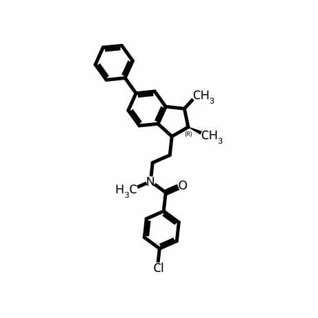 CC1c2cc(-c3ccccc3)ccc2C(CCN(C)C(=O)c2ccc(Cl)cc2)[C@@H]1C